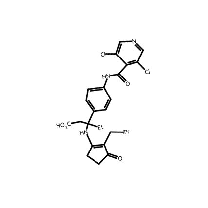 CCC(CC(=O)O)(NC1=C(CC(C)C)C(=O)CC1)c1ccc(NC(=O)c2c(Cl)cncc2Cl)cc1